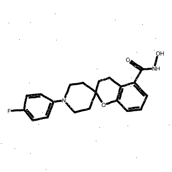 O=C(NO)c1cccc2c1CCC1(CCN(c3ccc(F)cc3)CC1)O2